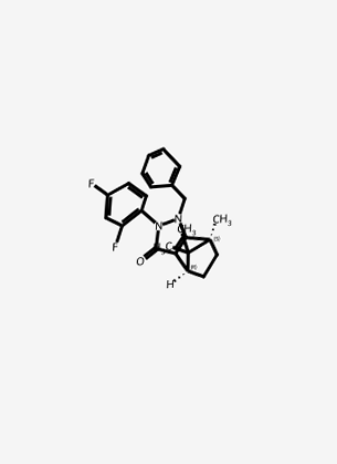 CC1(C)[C@H]2CC[C@]1(C)c1c2c(=O)n(-c2ccc(F)cc2F)n1Cc1ccccc1